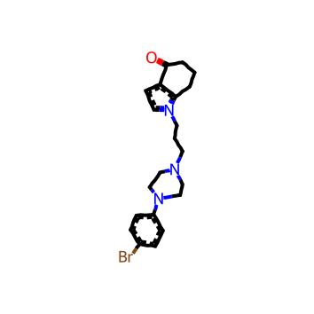 O=C1CCCc2c1ccn2CCCN1CCN(c2ccc(Br)cc2)CC1